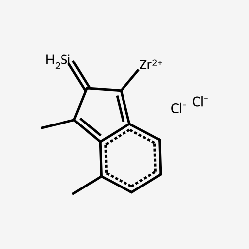 CC1=c2c(C)cccc2=[C]([Zr+2])C1=[SiH2].[Cl-].[Cl-]